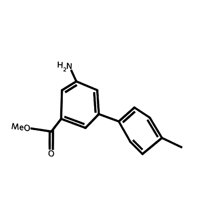 COC(=O)c1cc(N)cc(-c2ccc(C)cc2)c1